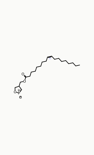 CCCCCCCC/C=C\CCCCCCCC(=O)OCC1CO[PH](=O)C1